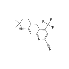 CC1(C)CCc2cc3c(C(F)(F)F)cc(C#N)nc3cc2N1